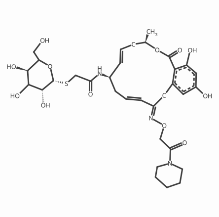 C[C@@H]1C/C=C/[C@H](NC(=O)CS[C@H]2OC(CO)[C@H](O)C(O)[C@H]2O)C/C=C/C(=NOCC(=O)N2CCCCC2)Cc2cc(O)cc(O)c2C(=O)O1